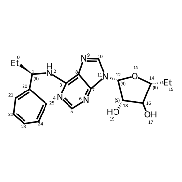 CC[C@@H](Nc1ncnc2c1ncn2[C@@H]1O[C@H](CC)C(O)[C@@H]1O)c1ccccc1